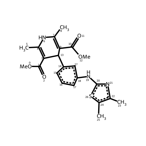 COC(=O)C1=C(C)NC(C)=C(C(=O)OC)C1c1cccc(Nc2nc(C)c(C)s2)c1